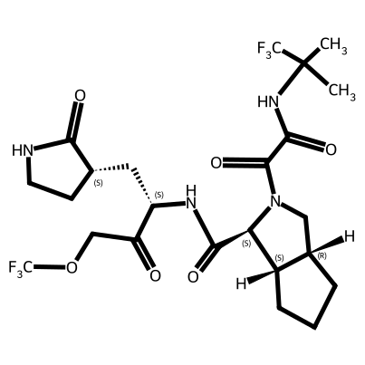 CC(C)(NC(=O)C(=O)N1C[C@@H]2CCC[C@@H]2[C@H]1C(=O)N[C@@H](C[C@@H]1CCNC1=O)C(=O)COC(F)(F)F)C(F)(F)F